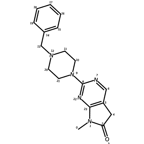 CN1C(=O)Cc2cnc(N3CCN(Cc4ccccc4)CC3)nc21